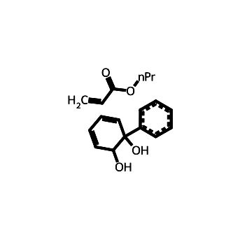 C=CC(=O)OCCC.OC1C=CC=CC1(O)c1ccccc1